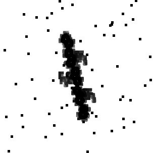 FC(F)(F)C1(C(F)(F)F)c2cc(-c3ccc4c(c3)C(C(F)(F)F)(C(F)(F)F)c3cc(-c5ccc6ccccc6c5)ccc3-4)ccc2-c2ccc(-c3ccc4c(c3)C(C(F)(F)F)(C(F)(F)F)c3cc(-c5ccc6ccccc6c5)ccc3-4)cc21